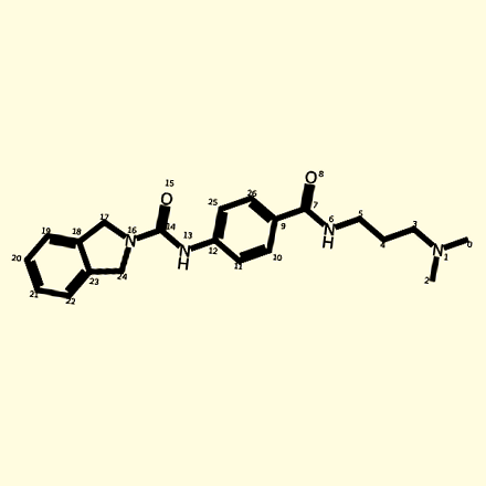 CN(C)CCCNC(=O)c1ccc(NC(=O)N2Cc3ccccc3C2)cc1